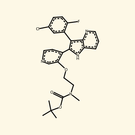 CN(CCOc1cnccc1-c1[nH]c2cccnc2c1-c1cc(Cl)ccc1F)C(=O)OC(C)(C)C